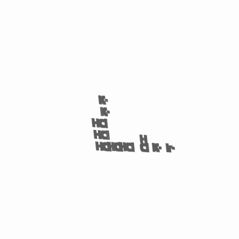 Cl.Cl.Cl.Cl.Cl.Cl.[Ir].[K].[K].[K]